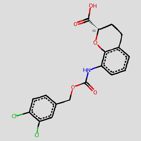 O=C(Nc1cccc2c1O[C@H](C(=O)O)CC2)OCc1ccc(Cl)c(Cl)c1